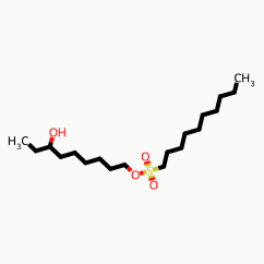 CCCCCCCCCCS(=O)(=O)OCCCCCCC(O)CC